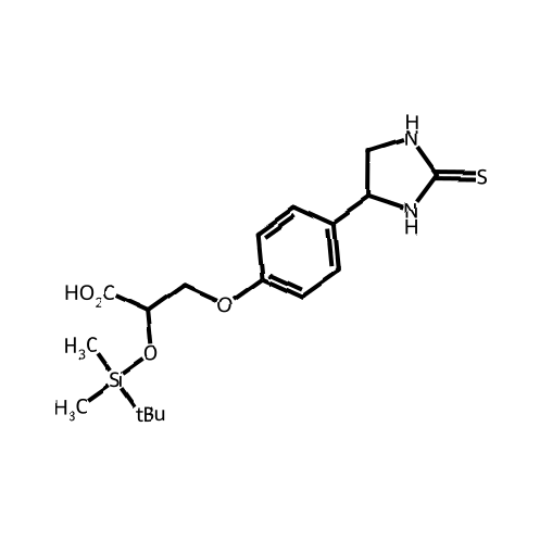 CC(C)(C)[Si](C)(C)OC(COc1ccc(C2CNC(=S)N2)cc1)C(=O)O